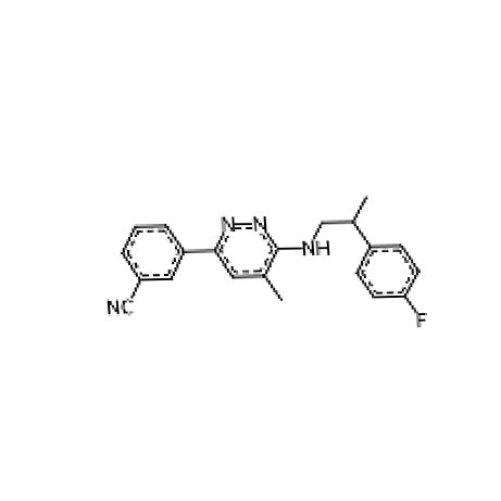 Cc1cc(-c2cccc(C#N)c2)nnc1NCC(C)c1ccc(F)cc1